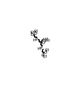 CCOC(CCPCCC(CN)(CCPCCC(OCC)OCC)OC(C)C)OCC